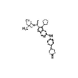 CCC1(C)CN(C(=O)c2sc3cnc(Nc4ccc(N5CCNCC5)cn4)cc3c2C2CCCC2)C1